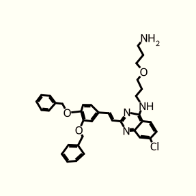 NCCCOCCCNc1nc(C=Cc2ccc(OCc3ccccc3)c(OCc3ccccc3)c2)nc2cc(Cl)ccc12